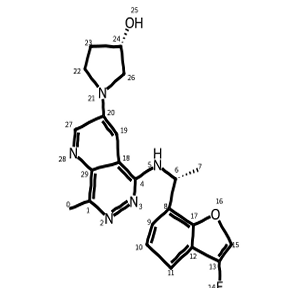 Cc1nnc(N[C@H](C)c2cccc3c(F)coc23)c2cc(N3CC[C@H](O)C3)cnc12